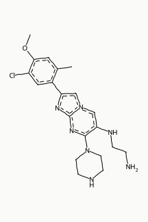 COc1cc(C)c(-c2cn3cc(NCCN)c(N4CCNCC4)nc3n2)cc1Cl